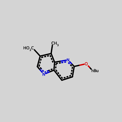 CCCCOc1ccc2ncc(C(=O)O)c(C)c2n1